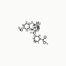 COC(=O)c1cncc(OC[C@@H]2[C@H]3Cc4ccc(OC)cc4[C@]2(C)CCN3C)c1